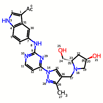 CC(=O)c1c[nH]c2ccc(Nc3nccc(-n4cc(CN5C[C@H](O)C[C@H]5CO)c(C)n4)n3)cc12